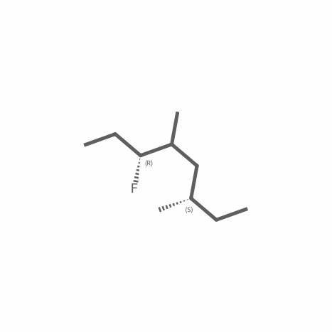 CC[C@H](C)CC(C)[C@H](F)CC